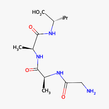 CC(C)[C@H](NC(=O)[C@H](C)NC(=O)[C@H](C)NC(=O)CN)C(=O)O